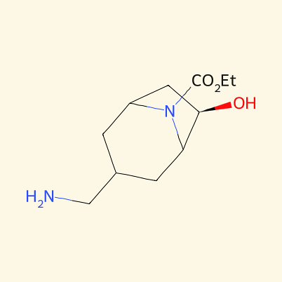 CCOC(=O)N1C2CC(CN)CC1[C@H](O)C2